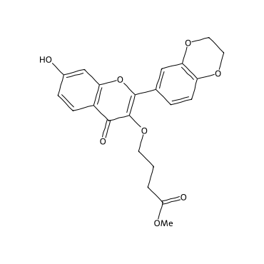 COC(=O)CCCOc1c(-c2ccc3c(c2)OCCO3)oc2cc(O)ccc2c1=O